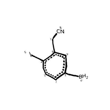 Bc1ccc(I)c(CC#N)c1